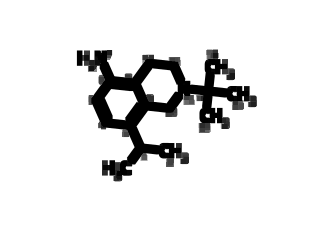 CC(C)c1ccc(N)c2c1CN(C(C)(C)C)CC2